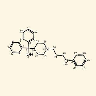 OC(c1ccccc1)(c1ccccc1)C1CCN(CCCOc2ccccc2)CC1